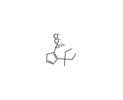 CCC(C)(CC)C1=[C]([Zr+2])CC=C1.[Cl-].[Cl-]